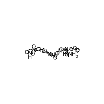 Nc1ncnc2c1c(-c1ccc(Oc3ccccc3)cc1)nn2[C@@H]1CCCN(C2CCN(C(=O)N3CCN(CCN4CCN(c5ccc6c(c5)CN(C5CCC(=O)NC5=O)C6=O)CC4)CC3)CC2)C1